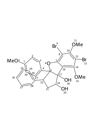 COc1ccc(C23Oc4c(Br)c(OC)c(Br)c(OC)c4C2(O)C(O)CC3c2ccccc2)cc1